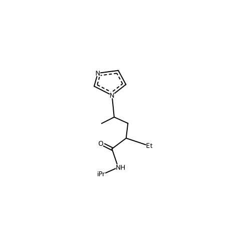 CCC(CC(C)n1ccnc1)C(=O)NC(C)C